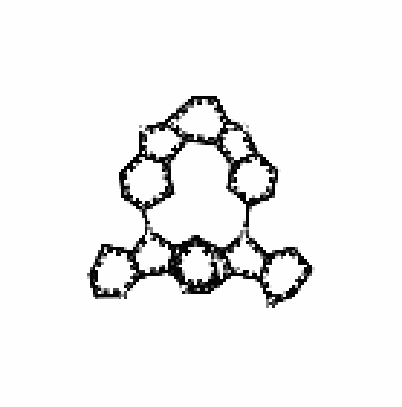 c1cnc2c3cnccc3n(-c3ccc4oc5ccc6oc7ccc(-n8c9cnccc9c9ncccc98)cc7c6c5c4c3)c2c1